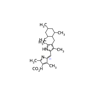 CC1=N/C(=C\c2[nH]c(C)c(CC3C(C)CC(C)CC3C)c2C)C(C)=C1C(=O)O